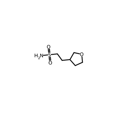 NS(=O)(=O)CCC1CCOC1